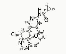 Cc1ccc(-c2nc(NC(=O)C3CC3)ncc2-c2cc(Cl)c3ncnc(C)c3c2)o1